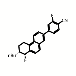 CCCC[C@@H]1CCc2c(ccc3cc(-c4ccc(C#N)c(F)c4)ccc23)[C@H]1F